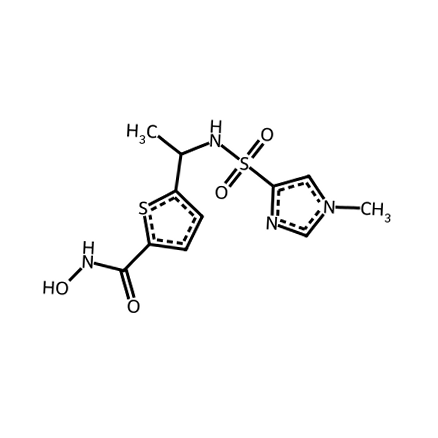 CC(NS(=O)(=O)c1cn(C)cn1)c1ccc(C(=O)NO)s1